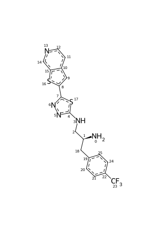 N[C@H](CNc1nnc(-c2cc3ccncc3s2)s1)Cc1ccc(C(F)(F)F)cc1